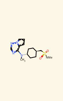 CNS(=O)(=O)C[C@H]1CC[C@H](N(C)c2ncnn3cccc23)CC1